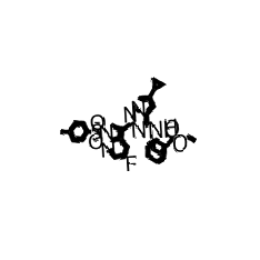 CCOC(=O)C1C2CCC(CC2)C1Nc1nc(-c2cn(S(=O)(=O)c3ccc(C)cc3)c3ncc(F)cc23)nn2cc(C3CC3)cc12